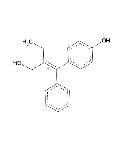 CC/C(CO)=C(/c1ccccc1)c1ccc(O)cc1